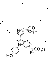 CCN(C(=O)O)c1cc2c(cn1)c(-c1cnn(C[C@@H]3COC(C)(C)O3)c1)nn2C1CCC(O)CC1